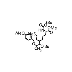 COC(=O)C(CCCC(CCSC)C(OCC(C)C)C(C)OCc1ccc(OC)cc1)NC(=O)OC(C)(C)C